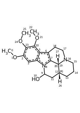 COc1cc2c(c3c4n2C(O)C[C@H]2CCCN(CC3)[C@@H]42)c(OC)c1OC